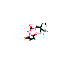 CCC(C)C(C)C(C)COC(=O)ON1C(=O)CCC1=O